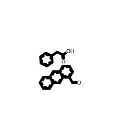 O=C(O)Cc1ccccc1.O=Cc1cccc2cc3ccccc3cc12